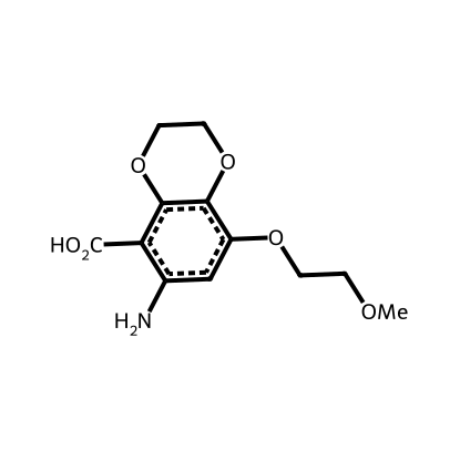 COCCOc1cc(N)c(C(=O)O)c2c1OCCO2